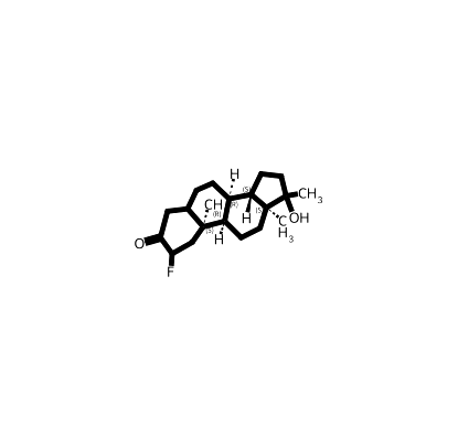 CC1(O)CC[C@H]2[C@@H]3CCC4CC(=O)C(F)C[C@]4(C)[C@@H]3CC[C@@]21C